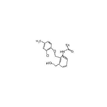 CCC(=O)Nc1cccc(CO)c1COc1ccc(C)cc1Cl